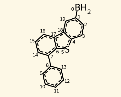 Bc1ccc2sc3c(-c4ccccc4)cccc3c2c1